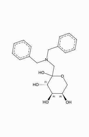 O[C@@H]1[C@H](O)COC(O)(CN(Cc2ccccc2)Cc2ccccc2)[C@H]1O